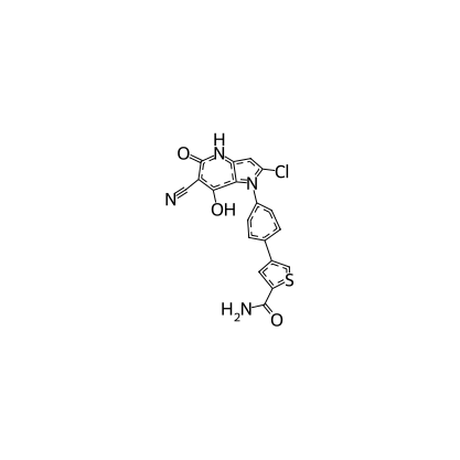 N#Cc1c(O)c2c(cc(Cl)n2-c2ccc(-c3csc(C(N)=O)c3)cc2)[nH]c1=O